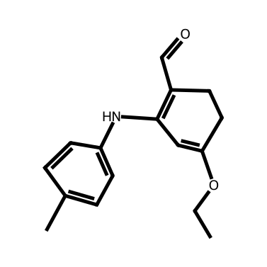 CCOC1=CC(Nc2ccc(C)cc2)=C(C=O)CC1